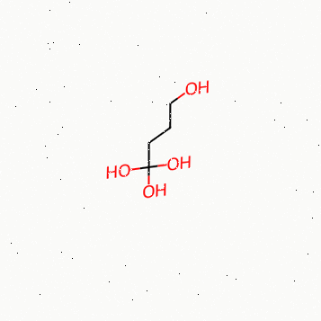 OCCCC(O)(O)O